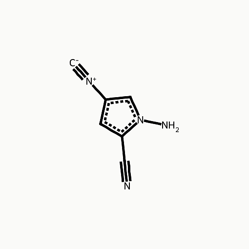 [C-]#[N+]c1cc(C#N)n(N)c1